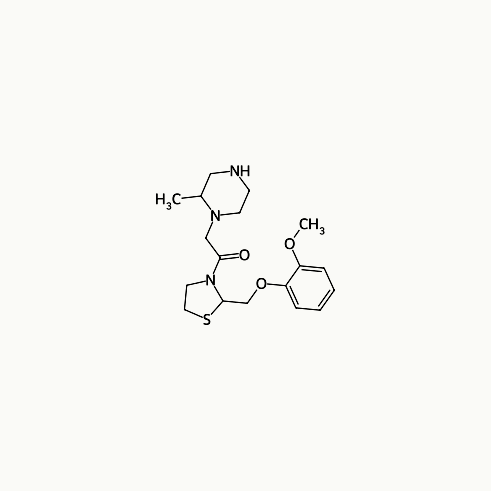 COc1ccccc1OCC1SCCN1C(=O)CN1CCNCC1C